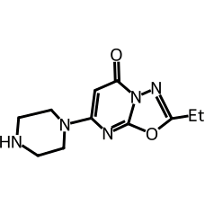 CCc1nn2c(=O)cc(N3CCNCC3)nc2o1